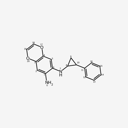 Nc1cc2c(cc1NC1CC1c1ccccc1)OC=CO2